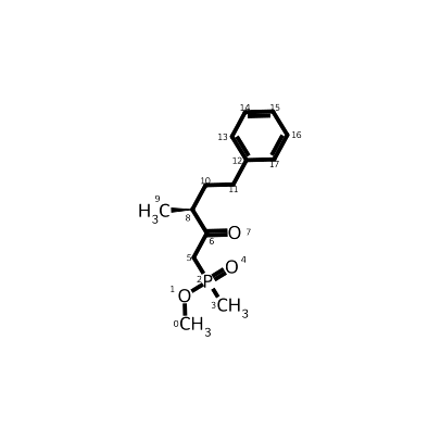 COP(C)(=O)CC(=O)[C@@H](C)CCc1ccccc1